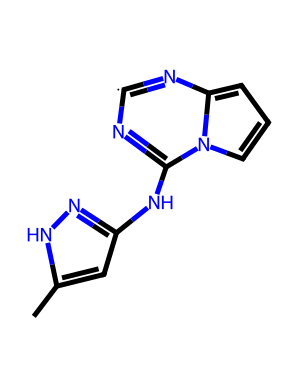 Cc1cc(Nc2n[c]nc3cccn23)n[nH]1